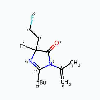 C=C(C)N1C(=O)C(CC)(CCF)N=C1CCCC